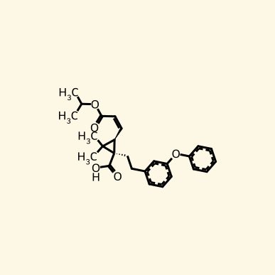 CC(C)OC(=O)/C=C\[C@@H]1C(C)(C)[C@]1(CCc1cccc(Oc2ccccc2)c1)C(=O)O